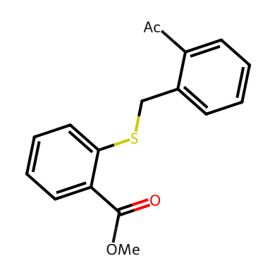 COC(=O)c1ccccc1SCc1ccccc1C(C)=O